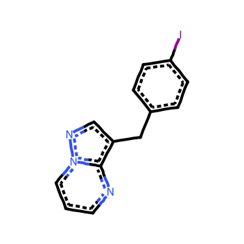 Ic1ccc(Cc2cnn3cccnc23)cc1